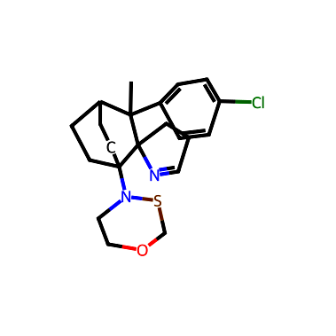 CC1(c2ccc(Cl)cc2)C2CCC(N3CCOCS3)(CC2)C12CCC=N2